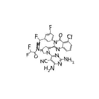 N#Cc1c(N)nc(N)nc1N1C[C@H](NC(=O)C(F)F)C[C@H]1c1nc2cccc(Cl)c2c(=O)n1-c1cc(F)cc(C(F)F)c1